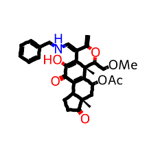 C=C1OC(COC)[C@@]2(C)C(=C(O)C(=O)C3=C2C(OC(C)=O)C[C@]2(C)C(=O)CCC32)/C1=C\NCc1ccccc1